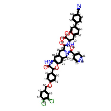 N#Cc1ccc(-c2ccc(CC(NC(=O)C3Cc4cc5c(cc4CN3C(=O)c3ccncc3)OC(c3ccc(OCc4ccc(Cl)c(Cl)c4)cc3)C(=O)N5)C(=O)O)cc2)cc1